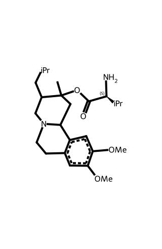 COc1cc2c(cc1OC)C1CC(C)(OC(=O)[C@@H](N)C(C)C)C(CC(C)C)CN1CC2